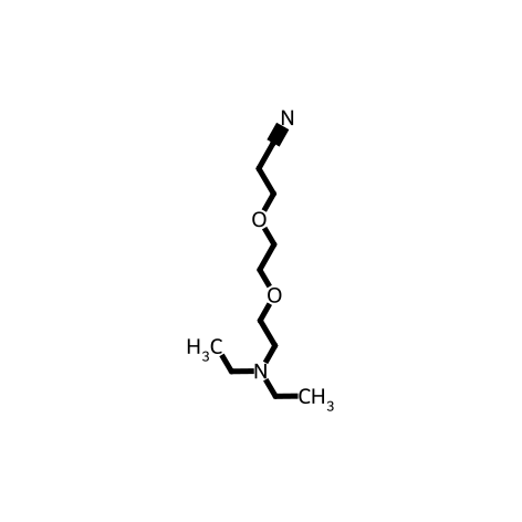 CCN(CC)CCOCCOCCC#N